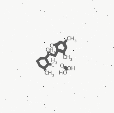 Cc1cc(C)c(CC(=O)C2CCCC(C)C2C)c(C)c1.O=C(O)O